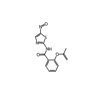 C=C(C)Oc1ccccc1C(=O)Nc1ncc(N=O)s1